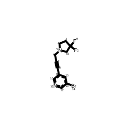 FC1(F)CCN(CC#Cc2cncc(Br)c2)C1